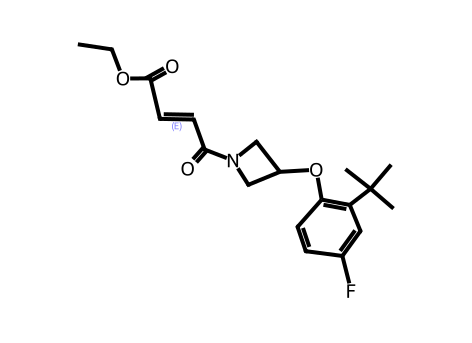 CCOC(=O)/C=C/C(=O)N1CC(Oc2ccc(F)cc2C(C)(C)C)C1